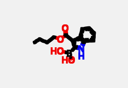 CCCCOC(=O)c1c(B(O)O)[nH]c2ccccc12